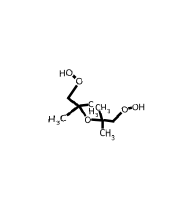 CC(C)(COO)OC(C)(C)COO